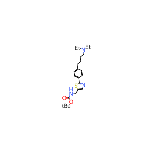 CCN(CC)CCCCc1ccc(-c2ncc(CNC(=O)OC(C)(C)C)s2)cc1